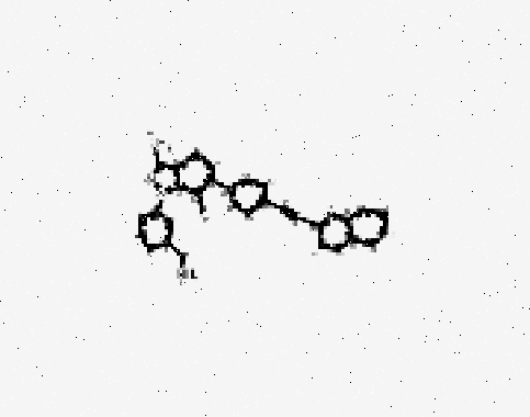 Cc1nn(-c2cccc(CN)c2)c2c(F)c(-c3ccc(C#Cc4ccc5ccccc5n4)cc3)ccc12